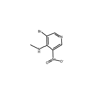 CNc1c(Br)cncc1[N+](=O)[O-]